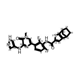 Cn1cc(-c2ccc(F)c(NC(=O)c3cc4c(s3)C3CCC4C3)c2F)nc(Nc2cn[nH]c2)c1=O